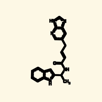 CC(NC(=O)/C=C/Cc1cnc2[nH]cnc2c1)c1cc2ccccc2[nH]1